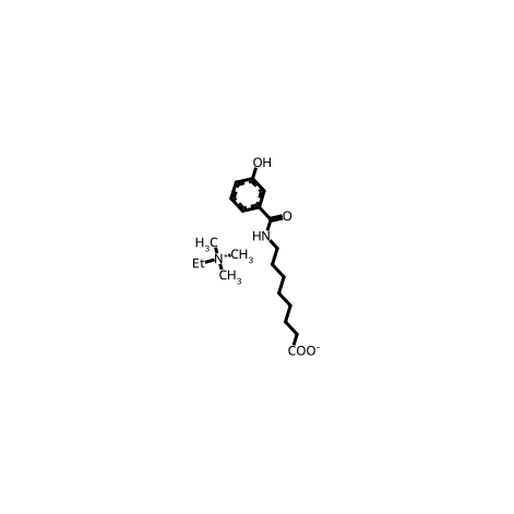 CC[N+](C)(C)C.O=C([O-])CCCCCCCNC(=O)c1cccc(O)c1